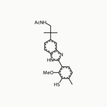 COc1c(-c2nc3cc(C(C)(C)CNC(C)=O)ccc3[nH]2)ccc(C)c1S